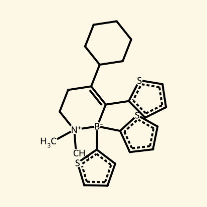 C[N+]1(C)CCC(C2CCCCC2)=C(c2cccs2)[B-]1(c1cccs1)c1cccs1